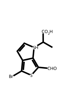 CC(C(=O)O)[SH]1C=Cc2c(Br)sc(C=O)c21